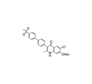 COc1cc2[nH]c(C)c(-c3ccc(-c4ccc(S(C)(=O)=O)cc4)cc3)c(=O)c2cc1Cl